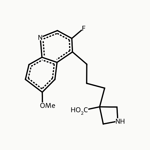 COc1ccc2ncc(F)c(CCCC3(C(=O)O)CNC3)c2c1